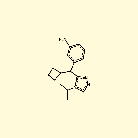 CC(C)n1cnnc1C(c1cccc(N)c1)C1CCC1